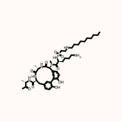 CCCCCCCCCCNCCS(=O)(=O)N[C@@H](CCCCN)C(=O)N(C)[C@@H]1C(=O)N[C@@H](C)C(=O)N[C@H](C(=O)N[C@@H](C)C(C)=O)Cc2ccc(O)c(c2)-c2cc1ccc2O